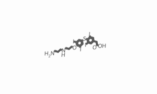 NCCCNCCCOc1c(I)cc(Sc2c(I)cc(CC(=O)O)cc2I)cc1I